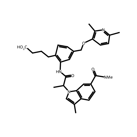 CNC(=O)c1ccc2c(C)cn(C(C)C(=O)Nc3cc(COc4ccc(C)nc4C)ccc3CCCC(=O)O)c2c1